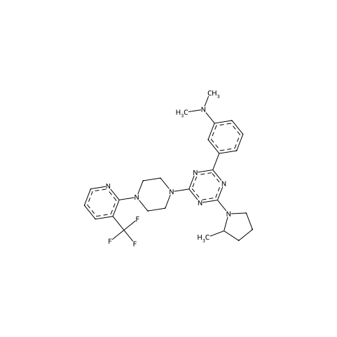 CC1CCCN1c1nc(-c2cccc(N(C)C)c2)nc(N2CCN(c3ncccc3C(F)(F)F)CC2)n1